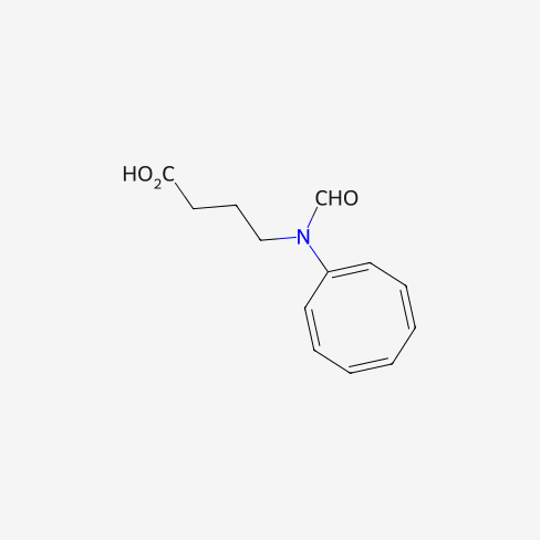 O=CN(CCCC(=O)O)C1=CC=CC=CC=C1